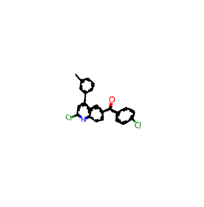 Cc1cccc(-c2cc(Cl)nc3ccc(C(=O)c4ccc(Cl)cc4)cc23)c1